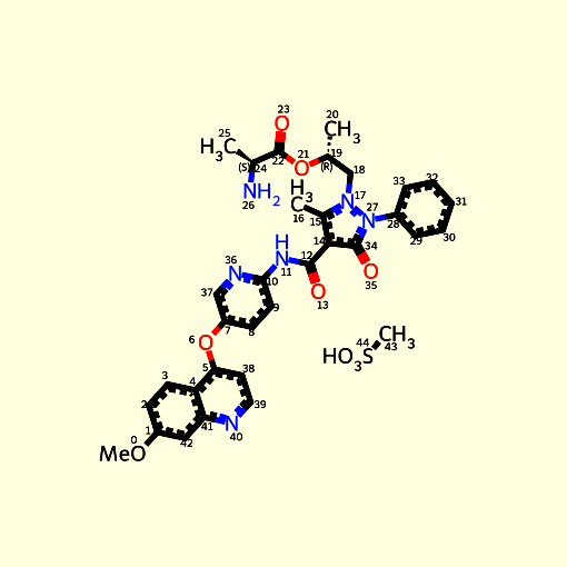 COc1ccc2c(Oc3ccc(NC(=O)c4c(C)n(C[C@@H](C)OC(=O)[C@H](C)N)n(-c5ccccc5)c4=O)nc3)ccnc2c1.CS(=O)(=O)O